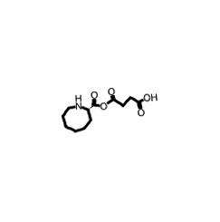 O=C(O)CCC(=O)OC(=O)[C@@H]1CCCCCCN1